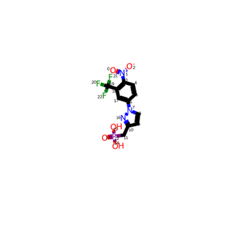 O=[N+]([O-])c1ccc(-n2ccc(CP(=O)(O)O)n2)cc1C(F)(F)F